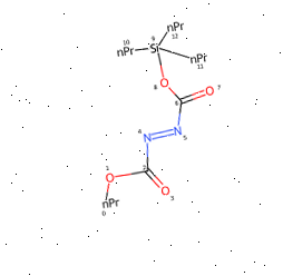 CCCOC(=O)/N=N/C(=O)O[Si](CCC)(CCC)CCC